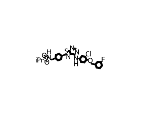 CC(C)S(=O)(=O)NCc1ccc(-c2nc3c(Nc4ccc(OCc5cccc(F)c5)c(Cl)c4)ncnc3s2)cc1